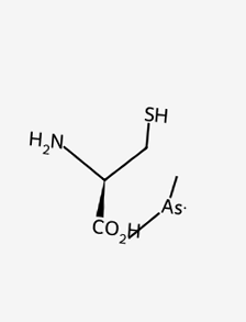 C[As]C.N[C@@H](CS)C(=O)O